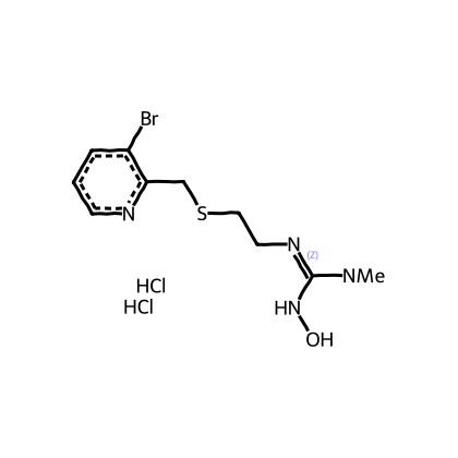 CN/C(=N/CCSCc1ncccc1Br)NO.Cl.Cl